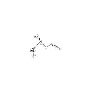 C=CC[C@H](C)NC(C)=O